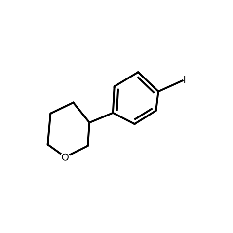 Ic1ccc(C2CCCOC2)cc1